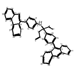 CCCC(CC)(Nc1ccc(-c2cc3ccccc3c3ccccc23)cc1)c1ccc(-c2c3ccccc3cc3ccccc23)cc1